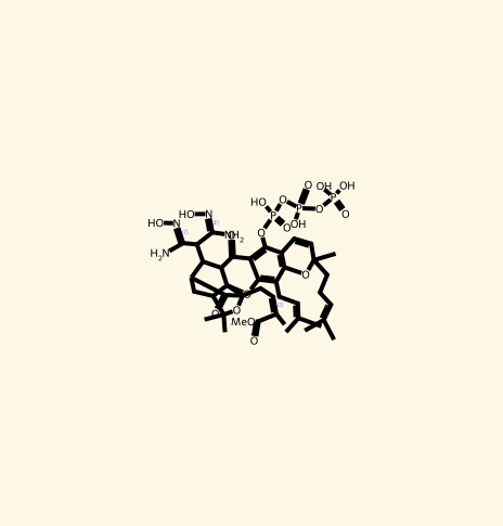 COC(=O)/C(C)=C\CC12OC(C)(C)C3CC(C1=O)C(C(/C(N)=N/O)/C(N)=N\O)C1C(=O)c4c(OP(=O)(O)OP(=O)(O)OP(=O)(O)O)c5c(c(CC=C(C)C)c4OC132)OC(C)(CCC=C(C)C)C=C5